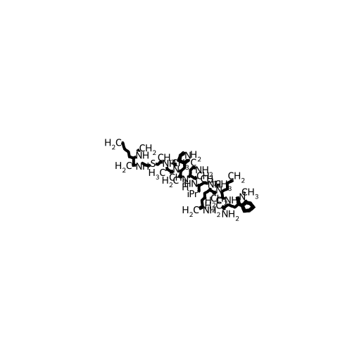 C=CCCCC(NC=C)C(=C)NCCSCC(=C)N[C@H](C)C(=C)N(C)C(Cc1cccnc1)C(=C)NC(CC(=C)N)C(=C)NC(CC(C)C)C(=C)NC(CCCC(=C)N)C(=C)N(C)C(CCC=C)C(=C)NC(Cc1cn(C)c2ccccc12)C(=C)N